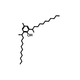 CCCCCCCCCCC(C)c1cc(C)cc(C(C)CCCCCCCCCC)c1O